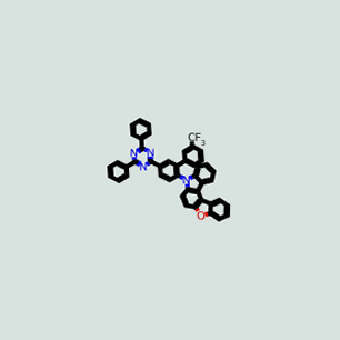 FC(F)(F)c1cccc(-c2cc(-c3nc(-c4ccccc4)nc(-c4ccccc4)n3)ccc2-n2c3ccccc3c3c4c(ccc32)oc2ccccc24)c1